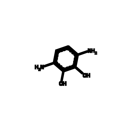 Nc1ccc(N)c(O)c1O